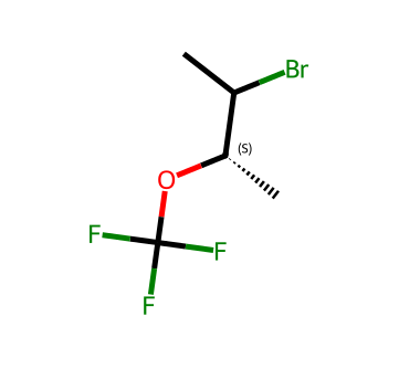 CC(Br)[C@H](C)OC(F)(F)F